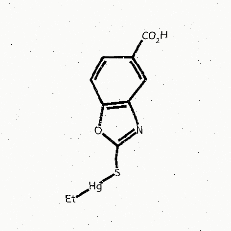 C[CH2][Hg][S]c1nc2cc(C(=O)O)ccc2o1